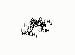 Cn1nc(C(=O)O)c2c1C(=O)N(CC1(S(=O)(=O)C(C)(C)COCC(C)(C)O)CC1)CC2